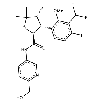 COc1c([C@@H]2[C@@H](C(=O)Nc3ccc(CO)nc3)OC(C)(C)[C@@H]2C)ccc(F)c1C(F)F